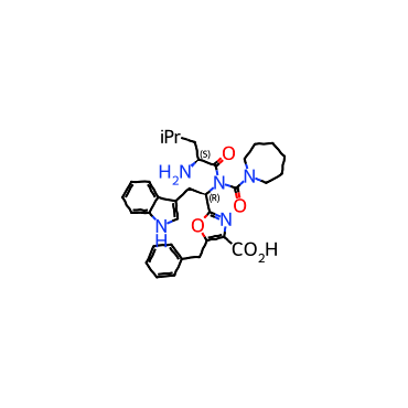 CC(C)C[C@H](N)C(=O)N(C(=O)N1CCCCCC1)[C@H](Cc1c[nH]c2ccccc12)c1nc(C(=O)O)c(Cc2ccccc2)o1